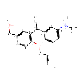 C=CCOc1ccc(CO)cc1C(CC)c1cccc(N(C(C)C)C(C)C)c1